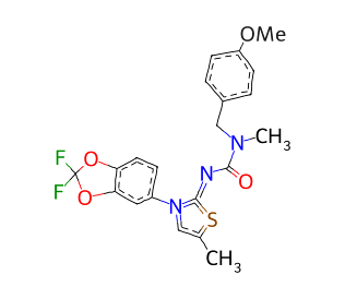 COc1ccc(CN(C)C(=O)N=c2sc(C)cn2-c2ccc3c(c2)OC(F)(F)O3)cc1